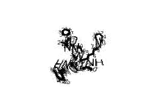 CC(C)NC(CCCCN1CCCCC1)C(=O)N1CCN(C2=N[C@@H](C)[C@H](c3ccccc3)O2)C[C@H]1C(=O)NCc1cccs1